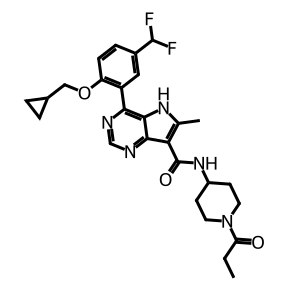 CCC(=O)N1CCC(NC(=O)c2c(C)[nH]c3c(-c4cc(C(F)F)ccc4OCC4CC4)ncnc23)CC1